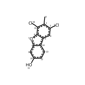 Cc1c(Cl)cc2c(oc3cc(O)ccc32)c1Cl